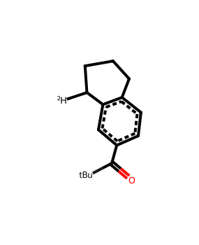 [2H]C1CCCc2ccc(C(=O)C(C)(C)C)cc21